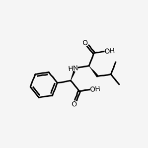 CC(C)C[C@@H](N[C@@H](C(=O)O)c1ccccc1)C(=O)O